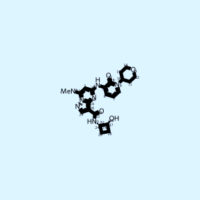 CNc1cc(Nc2cccn(C3CCOCC3)c2=O)nc2c(C(=O)N[C@H]3CC[C@@H]3O)cnn12